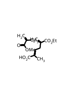 C=C(C)C(=O)OC.C=C(CC=C(C)C(=O)O)C(=O)OCC